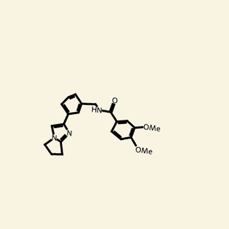 COc1ccc(C(=O)NCc2cccc(-c3cn4c(n3)CCC4)c2)cc1OC